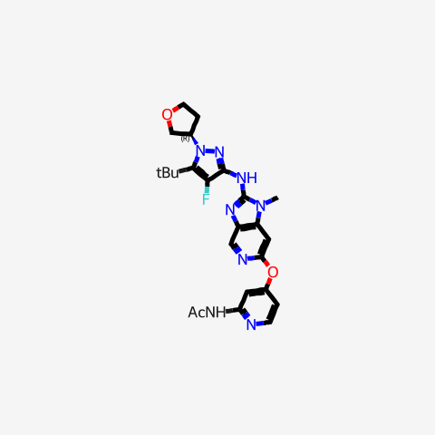 CC(=O)Nc1cc(Oc2cc3c(cn2)nc(Nc2nn([C@@H]4CCOC4)c(C(C)(C)C)c2F)n3C)ccn1